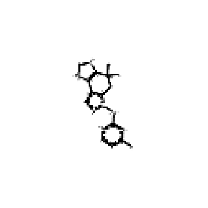 Cc1ccnc(Nn2ncc3c2CC(C)(C)C2=C3NCS2)n1